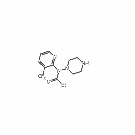 CCC(=O)N(c1ncccc1C(F)(F)F)N1CCNCC1